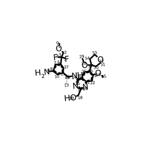 COCC(F)(F)c1cc(N)cc([C@@H](C)Nc2nc(CO)nc3cc(OC)c(C4(OC)CCOCC4)cc23)c1